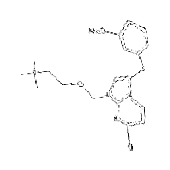 COc1cccc(Sc2cn(COCC[Si](C)(C)C)c3nc(Cl)ccc23)c1